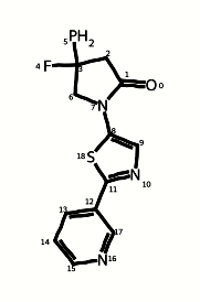 O=C1CC(F)(P)CN1c1cnc(-c2cccnc2)s1